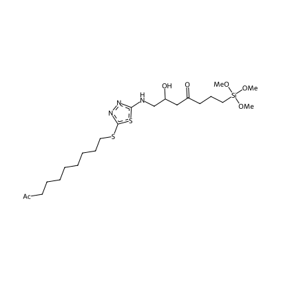 CO[Si](CCCC(=O)CC(O)CNc1nnc(SCCCCCCCCC(C)=O)s1)(OC)OC